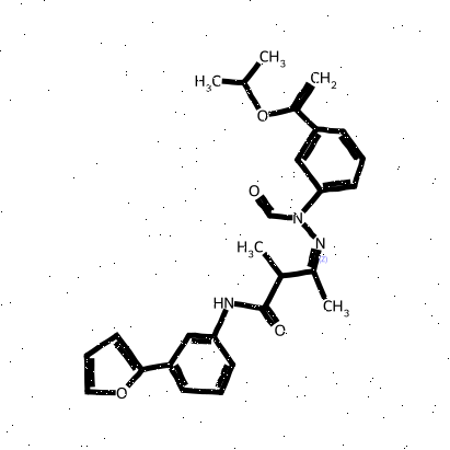 C=C(OC(C)C)c1cccc(N(C=O)/N=C(/C)C(C)C(=O)Nc2cccc(-c3ccco3)c2)c1